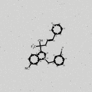 N#Cc1ccc2c(C(O)(CC=Cc3cccnc3)C(F)(F)F)cn(Cc3cccc(F)c3)c2c1